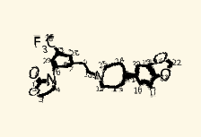 O=C1OCCN1c1cc(CCN2CCC(c3ccc4c(c3)OCO4)CC2)cc(C(F)(F)F)c1